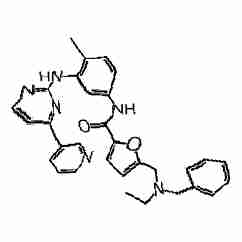 CCN(Cc1ccccc1)Cc1ccc(C(=O)Nc2ccc(C)c(Nc3nccc(-c4cccnc4)n3)c2)o1